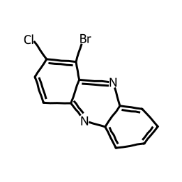 Clc1ccc2nc3ccccc3nc2c1Br